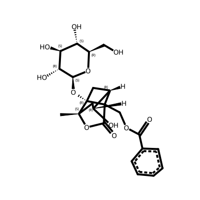 C[C@]12C[C@@H](O)[C@@H]3C[C@@]1(O[C@@H]1O[C@H](CO)[C@@H](O)[C@H](O)[C@H]1O)C3(COC(=O)c1ccccc1)C(=O)O2